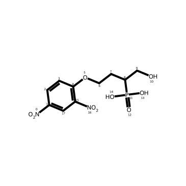 O=[N+]([O-])c1ccc(OCCC(CO)P(=O)(O)O)c([N+](=O)[O-])c1